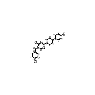 O=c1nc(N2CC=C(c3ccc(F)cc3)CC2)ncn1Cc1ccc(Cl)cc1